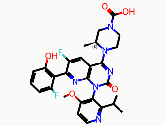 COc1ccnc(C(C)C)c1-n1c(=O)nc(N2CCN(C(=O)O)C[C@@H]2C)c2cc(F)c(-c3c(O)cccc3F)nc21